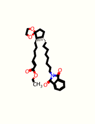 CCOC(=O)C=CCCCC[C@@H]1[C@@H](CCCCCCCCN2C(=O)c3ccccc3C2=O)CCC12OCCO2